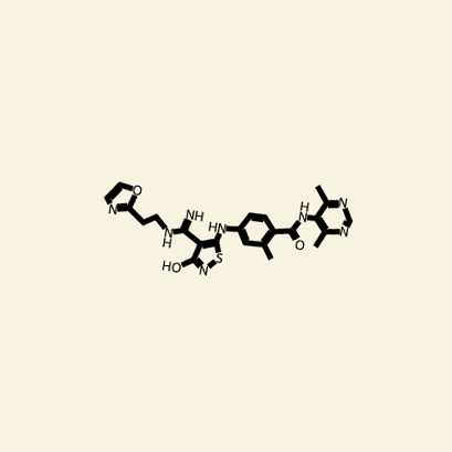 Cc1cc(Nc2snc(O)c2C(=N)NCCc2ncco2)ccc1C(=O)Nc1c(C)ncnc1C